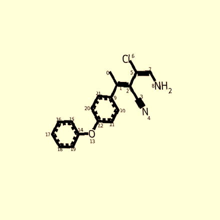 C/C(=C(C#N)\C(Cl)=C/N)c1ccc(Oc2ccccc2)cc1